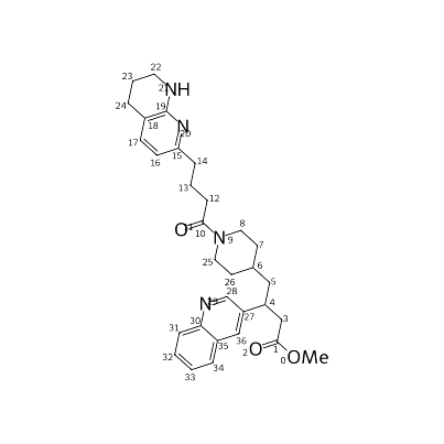 COC(=O)CC(CC1CCN(C(=O)CCCc2ccc3c(n2)NCCC3)CC1)c1cnc2ccccc2c1